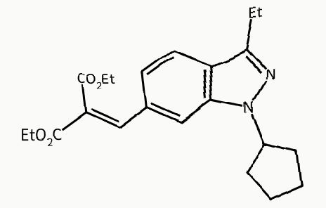 CCOC(=O)C(=Cc1ccc2c(CC)nn(C3CCCC3)c2c1)C(=O)OCC